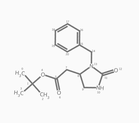 CC(C)(C)OC(=O)CC1CNC(=O)N1Cc1ccccc1